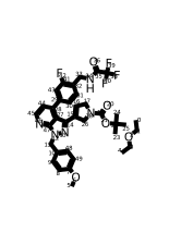 CCOCC.COc1ccc(Cn2nc(C3=CCN(C(=O)OC(C)(C)C)C3)c3c(-c4ccc(CNC(=O)C(F)(F)F)c(F)c4)ccnc32)cc1